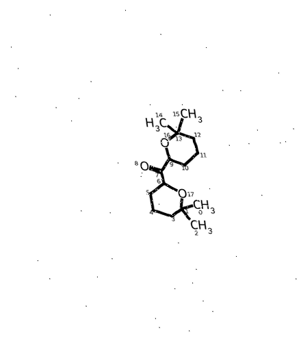 CC1(C)CCCC(C(=O)C2CCCC(C)(C)O2)O1